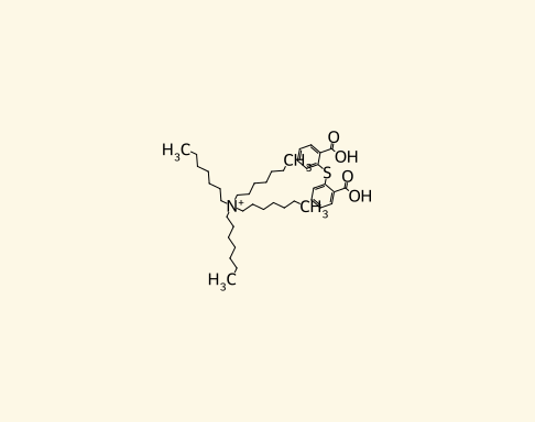 CCCCCCC[N+](CCCCCCC)(CCCCCCC)CCCCCCC.O=C(O)c1ccccc1Sc1ccccc1C(=O)O